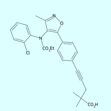 CCOC(=O)N(c1ccccc1Cl)c1c(C)noc1-c1ccc(C#CCC(C)(C)C(=O)O)cc1